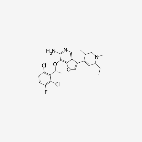 CCC1C=C(c2coc3c(O[C@H](C)c4c(Cl)ccc(F)c4Cl)c(N)ncc23)C(C)CN1C